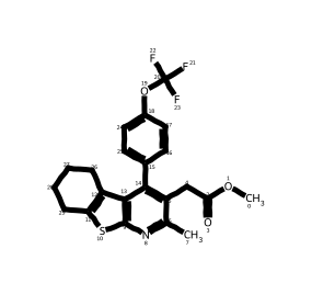 COC(=O)Cc1c(C)nc2sc3c(c2c1-c1ccc(OC(F)(F)F)cc1)CCCC3